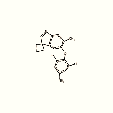 Cc1cc2c(cc1Oc1c(Cl)cc(N)cc1Cl)C1(C=N2)CCC1